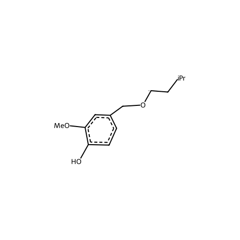 COc1cc(CO[CH]CC(C)C)ccc1O